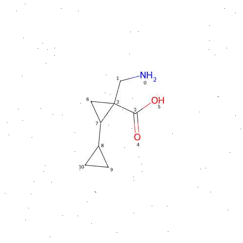 NCC1(C(=O)O)CC1C1CC1